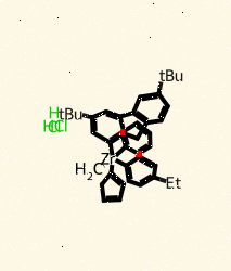 Cl.Cl.[CH2]=[Zr]([C]1=CC=CC1)([c]1ccccc1)([c]1ccc(CC)cc1)[c]1cc(C(C)(C)C)cc2c1Cc1ccc(C(C)(C)C)cc1-2